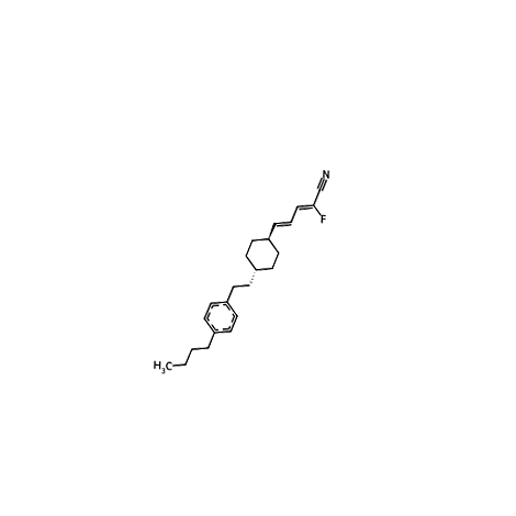 CCCCc1ccc(CC[C@H]2CC[C@H](C=CC=C(F)C#N)CC2)cc1